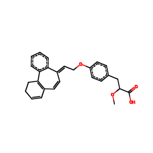 COC(Cc1ccc(OCC=C2C=CC3=C(CCC=C3)c3ccccc32)cc1)C(=O)O